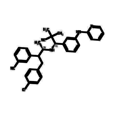 C[C@H](N[C@@H](c1cccc(Nc2ccccn2)c1)C(C)(C)C#N)C(Cc1ccc(Cl)cc1)c1cccc(C#N)c1